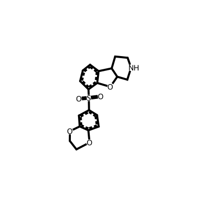 O=S(=O)(c1ccc2c(c1)OCCO2)c1cccc2c1OC1CNCCC21